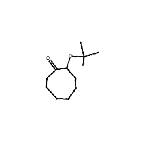 CC(C)(C)OC1CCCCCCC1=O